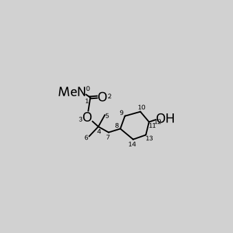 CNC(=O)OC(C)(C)CC1CCC(O)CC1